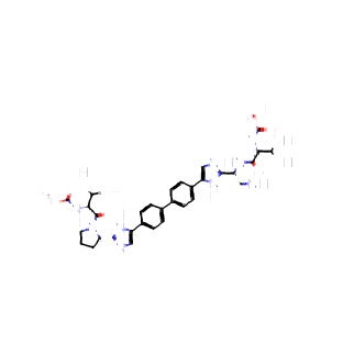 COC(=O)N[C@H](C(=O)N[C@@H](CN)c1ncc(-c2ccc(-c3ccc(-c4cnc([C@@H]5CCCN5C(=O)[C@@H](NC(=O)OC)C(C)C)[nH]4)cc3)cc2)[nH]1)C(C)C